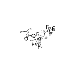 C=C(C)C(=O)OC(C)(C(F)(F)F)C(F)(F)CCC(F)(F)F